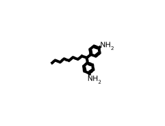 CCCCCCCCC(c1ccc(N)cc1)c1ccc(N)cc1